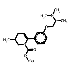 CC1CC=C(c2cccc(OC[C@H](C)N(C)C)c2)N(C(=O)OC(C)(C)C)C1